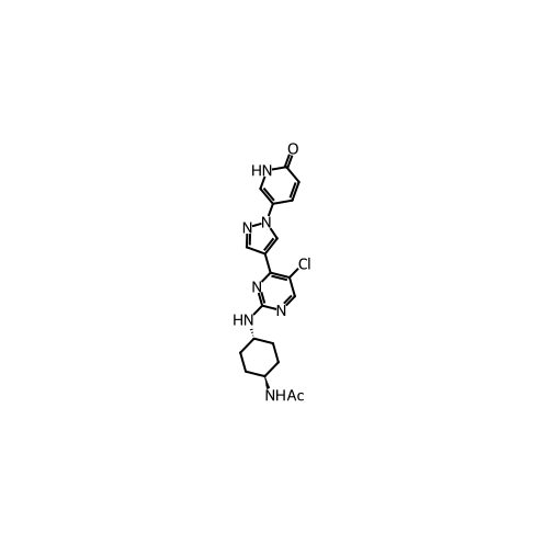 CC(=O)N[C@H]1CC[C@H](Nc2ncc(Cl)c(-c3cnn(-c4ccc(=O)[nH]c4)c3)n2)CC1